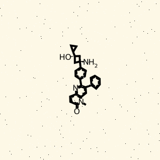 Cn1c(=O)ccc2nc(-c3ccc([C@]4(N)C[C@@](O)(C5CC5)C4)cc3)c(-c3ccccc3)cc21